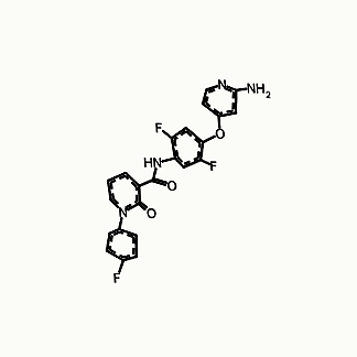 Nc1cc(Oc2cc(F)c(NC(=O)c3cccn(-c4ccc(F)cc4)c3=O)cc2F)ccn1